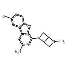 CN1CC2C1CN2c1nc(N)nc2c1oc1ccc(Cl)cc12